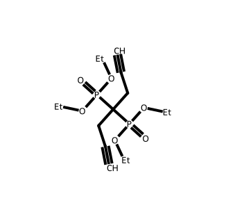 C#CCC(CC#C)(P(=O)(OCC)OCC)P(=O)(OCC)OCC